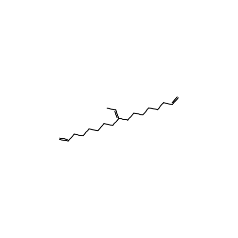 C=CCCCCCCC(=CC)CCCCCCC=C